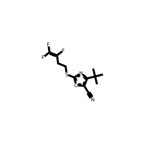 CC(C)(C)c1nc(SCCC(F)=C(F)F)oc1C#N